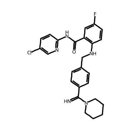 N=C(c1ccc(CNc2ccc(F)cc2C(=O)Nc2ccc(Cl)cn2)cc1)N1CCCCC1